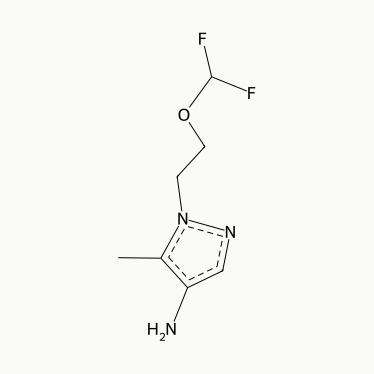 Cc1c(N)cnn1CCOC(F)F